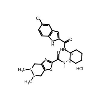 CN1Cc2nc(C(=O)N[C@H]3CCCC[C@@H]3NC(=O)c3cc4cc(Cl)ccc4[nH]3)sc2CN1C.Cl